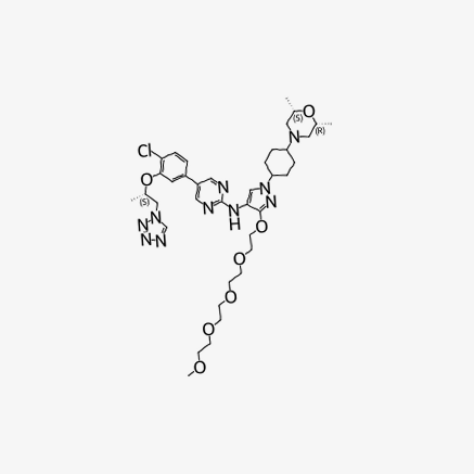 COCCOCCOCCOCCOc1nn(C2CCC(N3C[C@@H](C)O[C@@H](C)C3)CC2)cc1Nc1ncc(-c2ccc(Cl)c(O[C@@H](C)Cn3cnnn3)c2)cn1